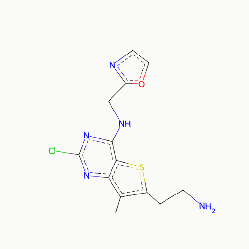 Cc1c(CCN)sc2c(NCc3ncco3)nc(Cl)nc12